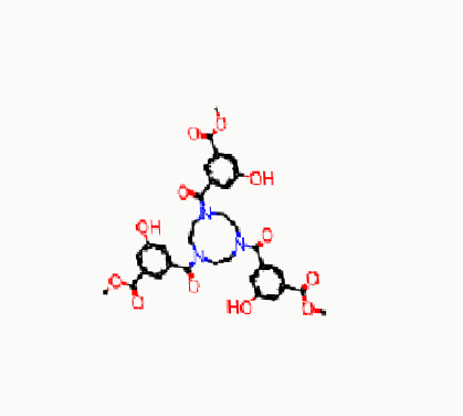 COC(=O)c1cc(O)cc(C(=O)N2CCN(C(=O)c3cc(O)cc(C(=O)OC)c3)CCN(C(=O)c3cc(O)cc(C(=O)OC)c3)CC2)c1